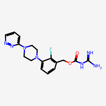 N=C(N)NC(=O)OCc1cccc(N2CCN(c3cccnn3)CC2)c1F